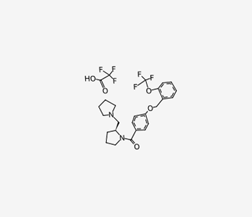 O=C(O)C(F)(F)F.O=C(c1ccc(OCc2ccccc2OC(F)(F)F)cc1)N1CCC[C@H]1CN1CCCC1